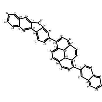 C1=CC2=C(c3ccc4ccccc4c3)C=CC3=CC=C4C(c5ccc6c(c5)oc5cc7ccccc7cc56)=CC=C1C4C32